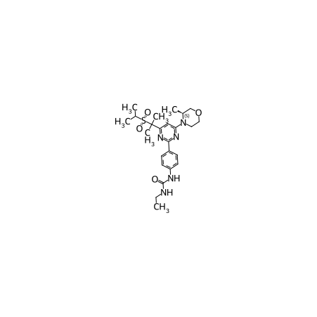 CCNC(=O)Nc1ccc(-c2nc(N3CCOC[C@@H]3C)cc(C(C)(C)S(=O)(=O)C(C)C)n2)cc1